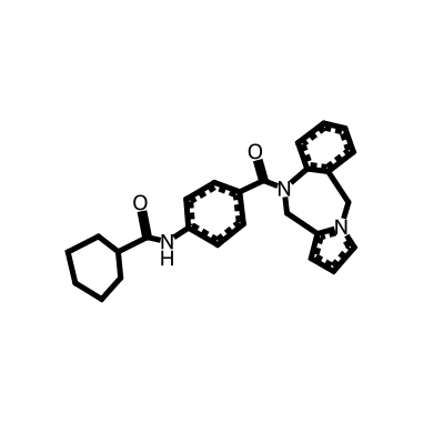 O=C(Nc1ccc(C(=O)N2Cc3cccn3Cc3ccccc32)cc1)C1CCCCC1